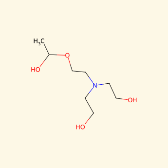 CC(O)OCCN(CCO)CCO